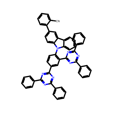 N#Cc1ccccc1-c1ccc2c(c1)c1ccccc1n2-c1ccc(-c2nc(-c3ccccc3)nc(-c3ccccc3)n2)cc1-c1nc(-c2ccccc2)nc(-c2ccccc2)n1